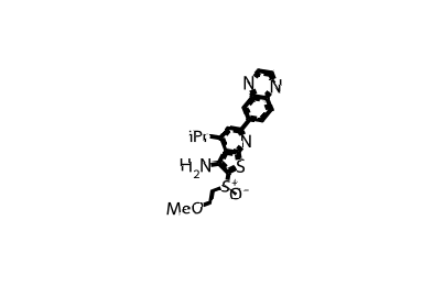 COCC[S@+]([O-])c1sc2nc(-c3ccc4nccnc4c3)cc(C(C)C)c2c1N